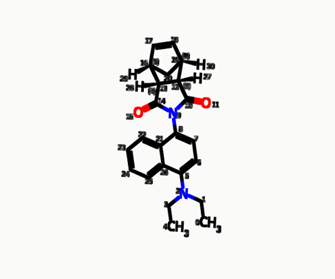 CCN(CC)c1ccc(N2C(=O)[C@@H]3[C@H](C2=O)[C@@H]2C=C[C@H]3C2)c2ccccc12